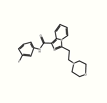 O=C(Nc1cccc(F)c1)c1nc(CCN2CCOCC2)n2ccccc12